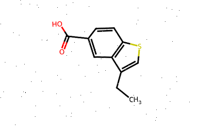 CCc1csc2ccc(C(=O)O)cc12